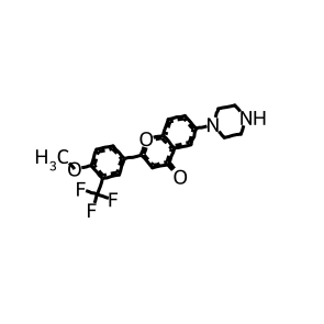 COc1ccc(-c2cc(=O)c3cc(N4CCNCC4)ccc3o2)cc1C(F)(F)F